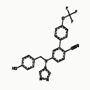 N#Cc1ccc(N(Cc2ccc(O)cc2)n2cnnc2)cc1-c1ccc(OC(F)(F)F)cc1